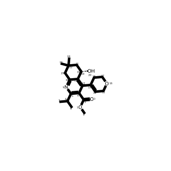 COC(=O)c1c(C(C)C)nc2c(c1C1=CCOCC1)[C@@H](O)CC(C)(C)C2